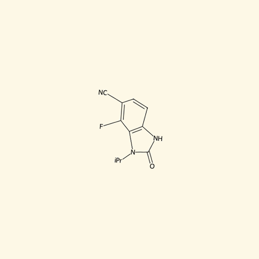 CC(C)n1c(=O)[nH]c2ccc(C#N)c(F)c21